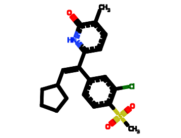 Cc1ccc(/C(=C/C2CCCC2)c2ccc(S(C)(=O)=O)c(Cl)c2)[nH]c1=O